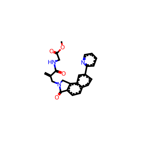 C=C(CN1Cc2c(ccc3ccc(-c4ccccn4)cc23)C1=O)C(=O)NCC(=O)OC